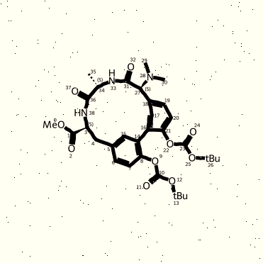 COC(=O)[C@@H]1Cc2ccc(OC(=O)OC(C)(C)C)c(c2)-c2cc(ccc2OC(=O)OC(C)(C)C)[C@H](N(C)C)C(=O)N[C@@H](C)C(=O)N1